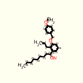 C=CCc1c(OCc2ccc(OC)cc2)cccc1[C@@H](O)CCCCCCCC